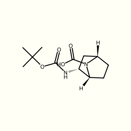 CC(C)(C)OC(=O)N[C@@H]1C[C@@H]2CC[C@H]1N2C(=O)O